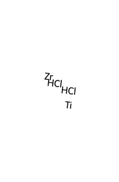 Cl.Cl.[Ti].[Zr]